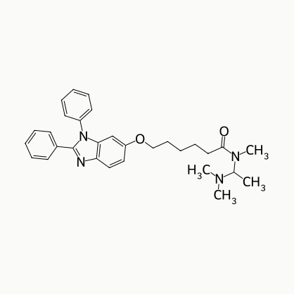 CC(N(C)C)N(C)C(=O)CCCCCOc1ccc2nc(-c3ccccc3)n(-c3ccccc3)c2c1